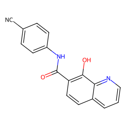 N#Cc1ccc(NC(=O)c2ccc3cccnc3c2O)cc1